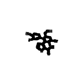 CCC(C)c1ccc(-c2c(CO)cc(Br)c3[nH]c(=O)c4sccc4c23)cc1F